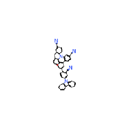 N#Cc1ccc2c(c1)Cc1ccccc1N2c1cc(C#N)ccc1-c1cccc(-c2ccc(-n3c4c(c5ccccc53)C=CCC4)cc2C#N)c1